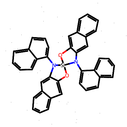 c1ccc2cc3c(cc2c1)O[Si]1(Oc2cc4ccccc4cc2N1c1cccc2ccccc12)N3c1cccc2ccccc12